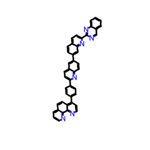 c1ccc2nc(-c3ccc4ccc(-c5ccc6nc(-c7ccc(-c8ccnc9c8ccc8cccnc89)cc7)ccc6c5)cc4n3)ncc2c1